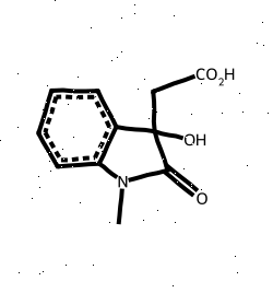 CN1C(=O)C(O)(CC(=O)O)c2ccccc21